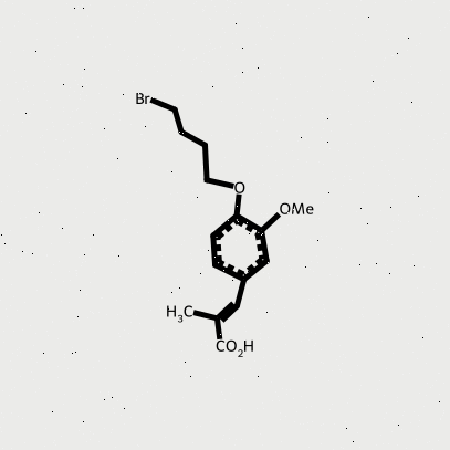 COc1cc(C=C(C)C(=O)O)ccc1OCCCCBr